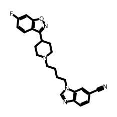 N#Cc1ccc2ncn(CCCCN3CCC(c4noc5cc(F)ccc45)CC3)c2c1